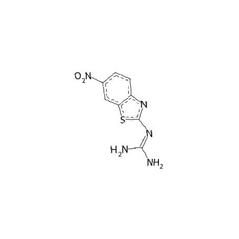 NC(N)=Nc1nc2ccc([N+](=O)[O-])cc2s1